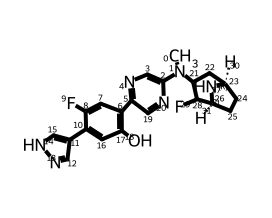 CN(c1cnc(-c2cc(F)c(-c3cn[nH]c3)cc2O)cn1)C1C[C@H]2CC[C@H](N2)C1F